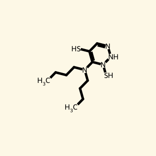 CCCCN(CCCC)C1=C(S)C=NNN1S